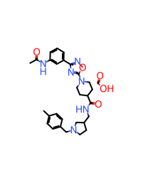 CC(=O)Nc1cccc(-c2noc(N3CCC(C(=O)NCC4CCN(Cc5ccc(C)cc5)C4)CC3)n2)c1.O=CO